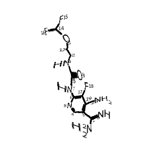 N=C(N)c1cnc(NC(=O)NCCOC(F)F)c(F)c1N